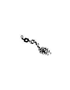 CC(C)(C)[Si](C)(C)OCCOCCN1CCN(c2ccc(C=O)cc2)CC1